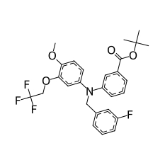 COc1ccc(N(Cc2cccc(F)c2)c2cccc(C(=O)OC(C)(C)C)c2)cc1OCC(F)(F)F